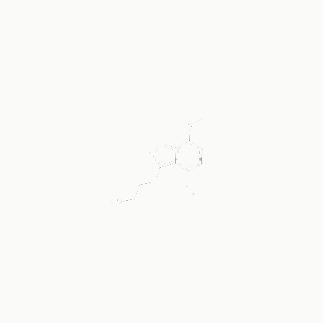 CNc1cccc2c(OCCN)noc12.Cl.Cl